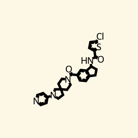 O=C(NC1CCc2ccc(C(=O)N3CCC4(CC3)CCN(c3ccncc3)C4)cc21)c1ccc(Cl)s1